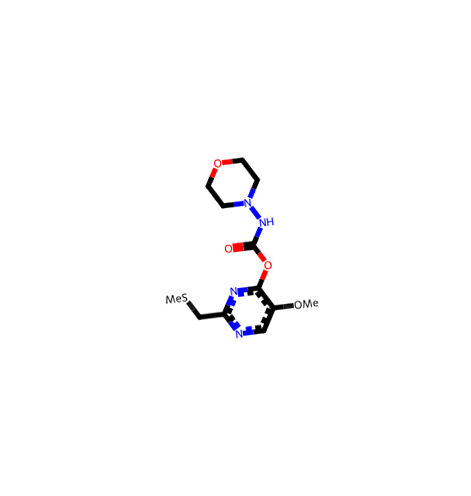 COc1cnc(CSC)nc1OC(=O)NN1CCOCC1